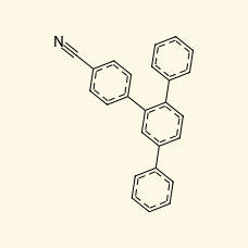 N#Cc1ccc(-c2cc(-c3ccccc3)ccc2-c2ccccc2)cc1